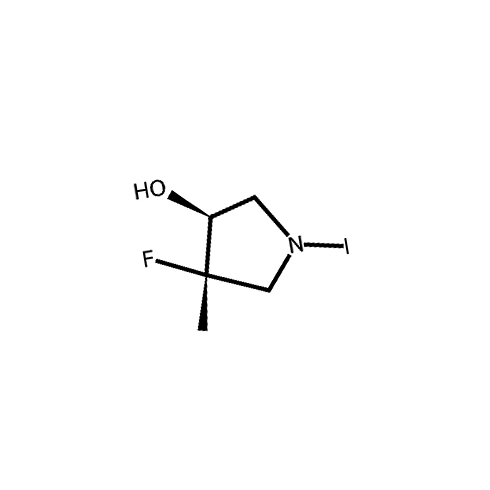 C[C@]1(F)CN(I)C[C@@H]1O